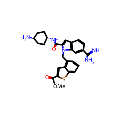 COC(=O)c1cc2c(Cn3c(C(=O)N[C@H]4CC[C@H](N)CC4)cc4ccc(C(=N)N)cc43)cccc2s1